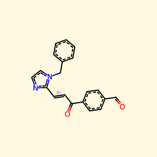 O=Cc1ccc(C(=O)/C=C/c2nccn2Cc2ccccc2)cc1